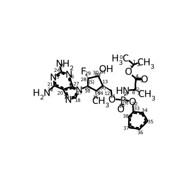 CC(C)OC(=O)[C@H](C)N[P@](=O)(OC[C@H]1[C@H](C)[C@@H](n2cnc3c(N)nc(N)nc32)[C@H](F)[C@@H]1O)Oc1ccccc1